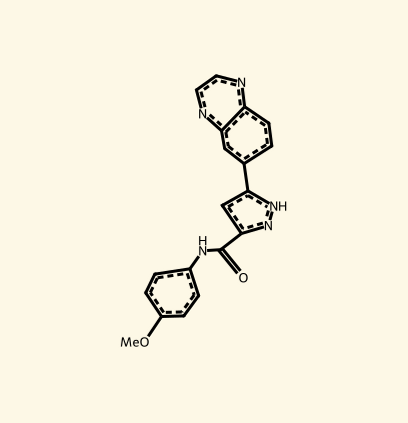 COc1ccc(NC(=O)c2cc(-c3ccc4nccnc4c3)[nH]n2)cc1